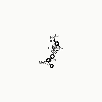 CC[N+](CC)(CCOC(=O)[C@H]1CC[C@@](C#N)(c2ccc(OC)c(OC3CCCC3)c2)CC1)Cc1ccc(C(O)CNC(C)(C)C)cc1OP(=O)(O)O